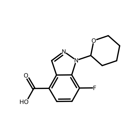 O=C(O)c1ccc(F)c2c1cnn2C1CCCCO1